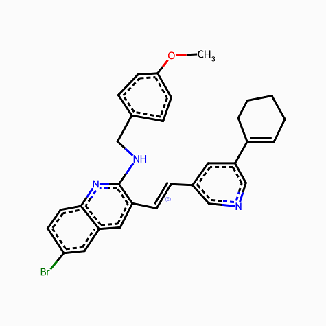 COc1ccc(CNc2nc3ccc(Br)cc3cc2/C=C/c2cncc(C3=CCCCC3)c2)cc1